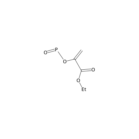 C=C(OP=O)C(=O)OCC